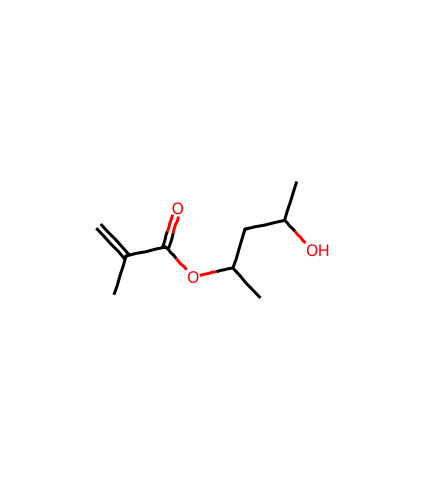 C=C(C)C(=O)OC(C)CC(C)O